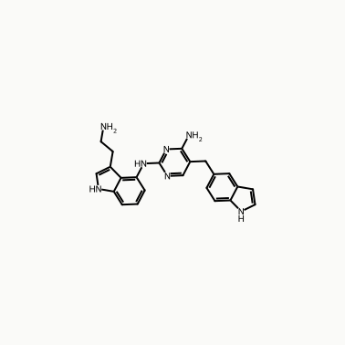 NCCc1c[nH]c2cccc(Nc3ncc(Cc4ccc5[nH]ccc5c4)c(N)n3)c12